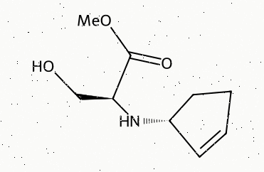 COC(=O)[C@H](CO)N[C@H]1C=CCC1